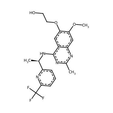 COc1cc2nc(C)nc(N[C@H](C)c3cccc(C(F)(F)F)n3)c2cc1OCCO